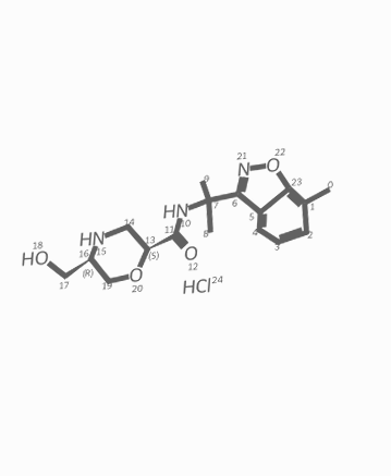 Cc1cccc2c(C(C)(C)NC(=O)[C@@H]3CN[C@H](CO)CO3)noc12.Cl